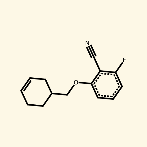 N#Cc1c(F)cccc1OCC1CC=CCC1